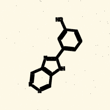 Oc1cccc(-c2nc3cnncc3[nH]2)c1